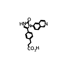 O=C(O)CCc1ccc(-c2c[nH]c(=O)n2-c2ccc3cnccc3c2)cc1